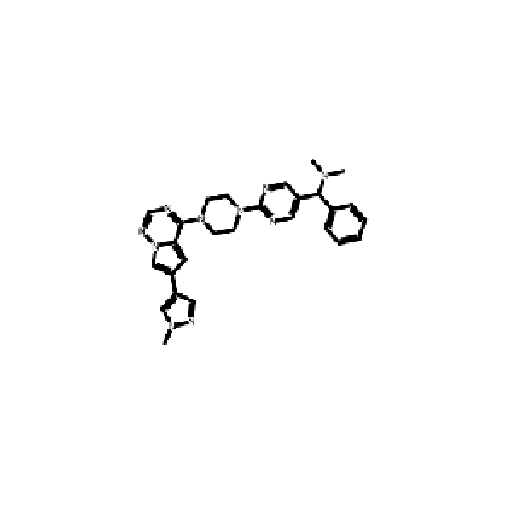 CN(C)C(c1ccccc1)c1cnc(N2CCN(c3ncnn4cc(-c5cnn(C)c5)cc34)CC2)nc1